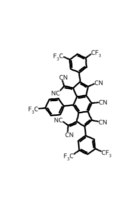 N#CC(C#N)=C1C(c2cc(C(F)(F)F)cc(C(F)(F)F)c2)=C(C#N)c2c(C#N)c3c(c(-c4ccc(C(F)(F)F)cc4)c21)C(=C(C#N)C#N)C(c1cc(C(F)(F)F)cc(C(F)(F)F)c1)=C3C#N